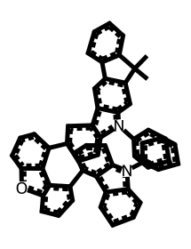 CC1(C)c2ccccc2-c2cc3c4cc(-c5cccc6oc7cccc(-c8cccc9c8c8ccccc8n9-c8ccccc8)c7c56)ccc4n(-c4ccccc4)c3cc21